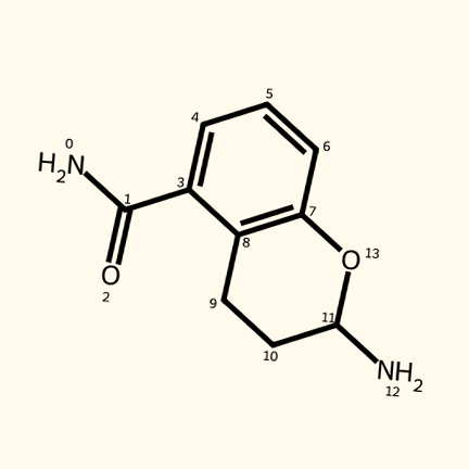 NC(=O)c1cccc2c1CCC(N)O2